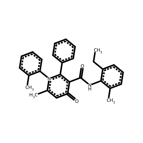 CCc1cccc(C)c1NC(=O)c1c(-c2ccccc2)n(-c2ccccc2C)c(C)cc1=O